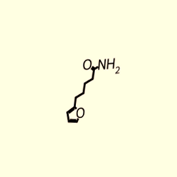 NC(=O)CCCCc1ccco1